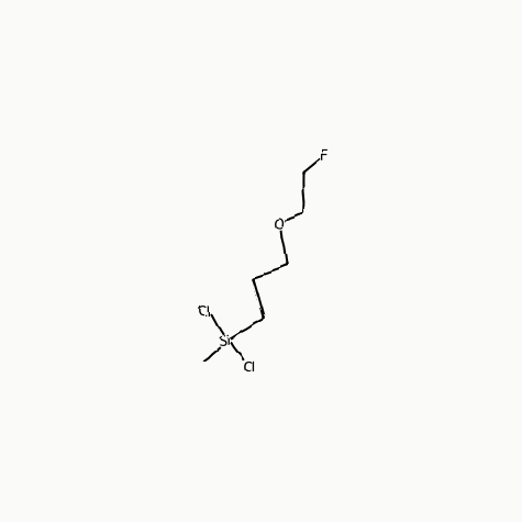 C[Si](Cl)(Cl)CCCOCCF